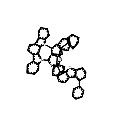 c1ccc(-c2cc(-c3ccccc3)cc(-n3c4ccccc4c4ccc5c6ccccc6n(-c6nc(-c7ccccc7)nc(-c7cccc8c7oc7cccc(-c9ccccc9)c78)n6)c5c43)c2)cc1